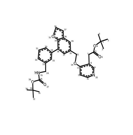 CC(C)(C)OC(=O)Cc1cnccc1OCc1cc(-c2cccc(CNC(=O)OC(C)(C)C)c2)c2occc2c1